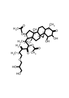 C=C(C(=O)[C@H](OC(C)=O)[C@@H](C)[C@H]1[C@@H](OC(C)=O)C[C@@]2(C)C3CCC4[C@H](C)C(=O)C(O)C(O)[C@@]45C[C@@]35CC[C@]12C)[C@@H](C)COCC(O)CO